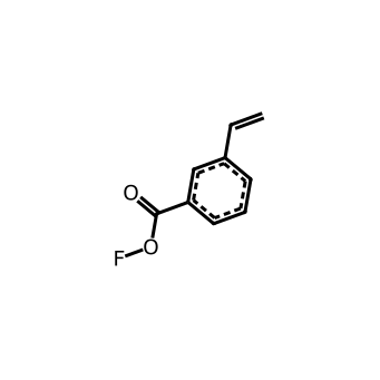 C=Cc1cccc(C(=O)OF)c1